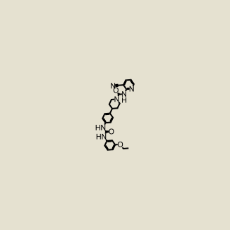 CCOc1cccc(NC(=O)Nc2ccc(C3CCN(C(=O)Nc4ncccc4C#N)CC3)cc2)c1